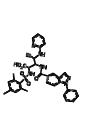 CCC(Nc1ccccn1)C(NC(=O)c1ccc2c(cnn2-c2ccccc2)c1)C(NS(=O)(=O)c1c(C)cc(C)cc1C)C(=O)O